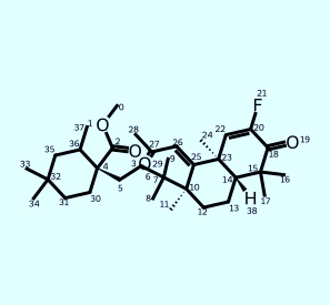 COC(=O)[C@]1(CCC(C)(C)[C@]2(C)CC[C@H]3C(C)(C)C(=O)C(F)=C[C@]3(C)/C2=C/C(C)=O)CCC(C)(C)CC1C